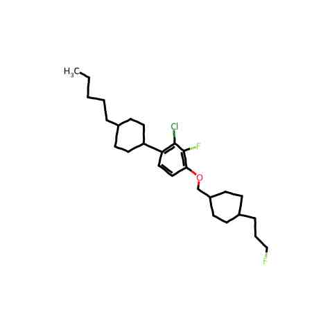 CCCCCC1CCC(c2ccc(OCC3CCC(CCCF)CC3)c(F)c2Cl)CC1